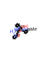 COc1cccc(CNC[C@H](O)[C@H](Cc2ccccc2)NC(=O)[C@H](N)CCC(=O)N2CCCCC2)c1